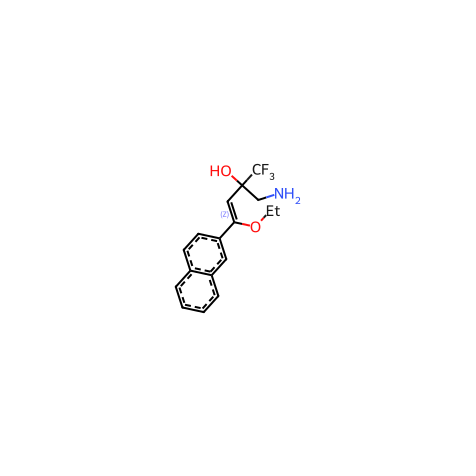 CCO/C(=C\C(O)(CN)C(F)(F)F)c1ccc2ccccc2c1